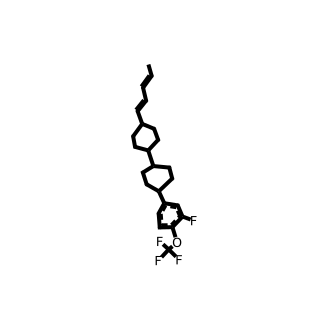 CC=CC=CC1CCC(C2CCC(c3ccc(OC(F)(F)F)c(F)c3)CC2)CC1